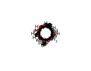 CCCCN1CC(=O)N(C)[C@@H](Cc2ccccc2)C(=O)N(C)C(CC(C)C)C(=O)N[C@@H](CC(C)C)C(=O)N(C)[C@@H](CC(C)C)C(=O)N[C@H](C(=O)N2CCCCC2)CC(=O)N(C)CC(=O)N(C)[C@@H](CC(C)C)C(=O)N[C@@H](C(C)C)C(=O)N(C)C(CC(C)C)C(=O)NC(CCc2noc(=O)[nH]2)C1=O